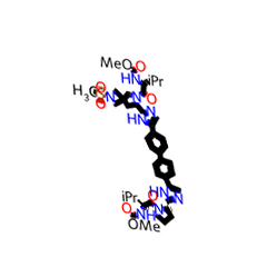 COC(=O)NC(C(=O)N1CC2(CC1c1ncc(-c3ccc(-c4ccc(-c5cnc([C@@H]6CCCN6C(=O)[C@@H](NC(=O)OC)C(C)C)[nH]5)cc4)cc3)[nH]1)CN(S(C)(=O)=O)C2)C(C)C